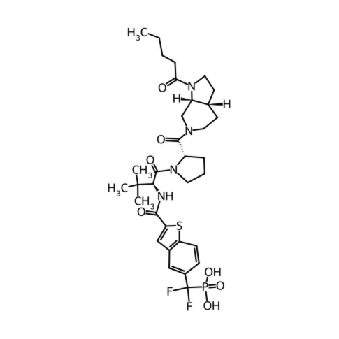 CCCCC(=O)N1CC[C@@H]2CCN(C(=O)[C@@H]3CCCN3C(=O)[C@@H](NC(=O)c3cc4cc(C(F)(F)P(=O)(O)O)ccc4s3)C(C)(C)C)C[C@@H]21